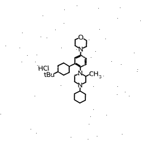 CC1CN(C2CCCCC2)CCN1c1ccc(N2CCOCC2)cc1C1CCC(C(C)(C)C)CC1.Cl